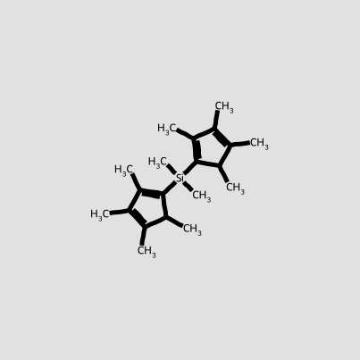 CC1=C(C)C(C)C([Si](C)(C)C2=C(C)C(C)=C(C)C2C)=C1C